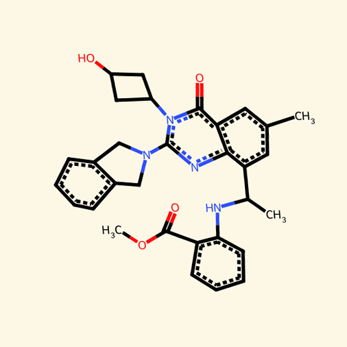 COC(=O)c1ccccc1NC(C)c1cc(C)cc2c(=O)n(C3CC(O)C3)c(N3Cc4ccccc4C3)nc12